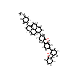 CC(C)(C)c1ccc(-c2ccc3ccc4c(-c5ccc6c(c5)oc5cc(-c7cccc8c7oc7ccccc78)ccc56)ccc5ccc2c3c54)cc1